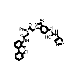 CC(=O)c1nn(CC(=O)N(CC(=O)Nc2cccc(-c3ccccc3Cl)c2F)C(C)C)c2ccc(NC(O)Nc3cncnc3)cc12